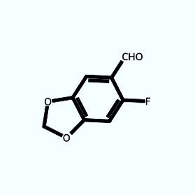 O=Cc1cc2c(cc1F)OCO2